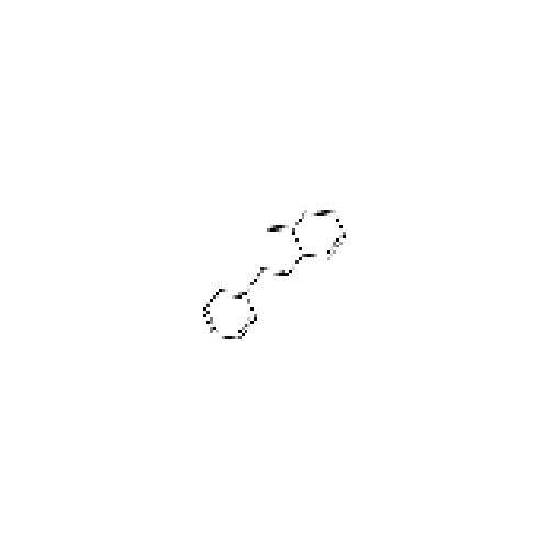 C=C1C=CC=CC1C=Cc1ccccc1